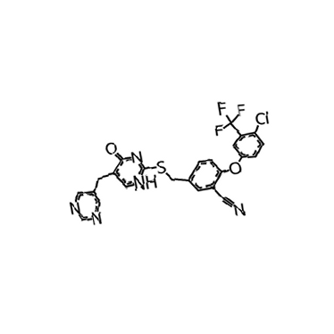 N#Cc1cc(CSc2nc(=O)c(Cc3cncnc3)c[nH]2)ccc1Oc1ccc(Cl)c(C(F)(F)F)c1